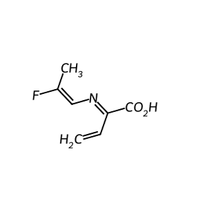 C=C/C(=N\C=C(/C)F)C(=O)O